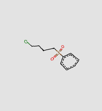 O=S(=O)(CCCCCl)c1ccccc1